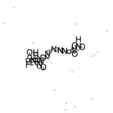 CCc1c(F)ccc2cc(O)cc(-c3ncc4c(N5CCCC6(CCO6)C5)nc(OCC5(CN6CCC(CN7CCC(N8CCN(c9ccc%10c(c9)CN([C@H]9CCC(=O)NC9=O)C%10=O)CC8)CC7)CC6)CC5)nc4c3F)c12